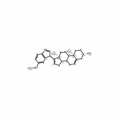 COc1ccc2ncn(C3=CCC4C5CC=C6C[C@@H](O)CC[C@]6(C)C5CC[C@]34C)c2c1